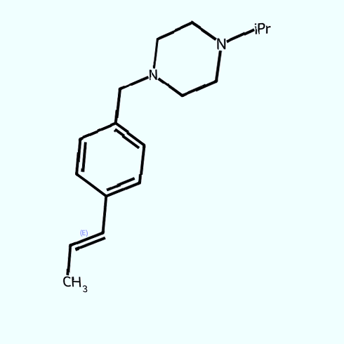 C/C=C/c1ccc(CN2CCN(C(C)C)CC2)cc1